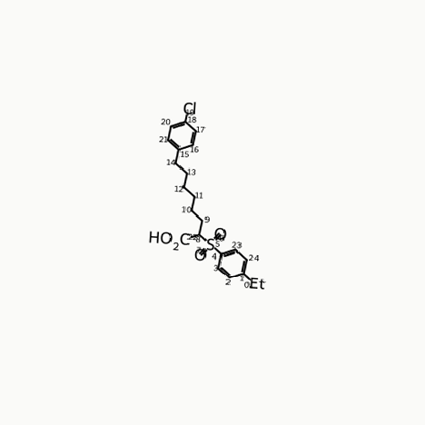 CCc1ccc(S(=O)(=O)C(CCCCCCc2ccc(Cl)cc2)C(=O)O)cc1